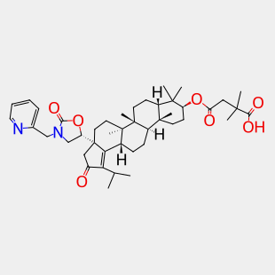 CC(C)C1=C2[C@H]3CC[C@@H]4[C@@]5(C)CC[C@H](OC(=O)CC(C)(C)C(=O)O)C(C)(C)[C@H]5CC[C@@]4(C)[C@]3(C)CCC2([C@@H]2CN(Cc3ccccn3)C(=O)O2)CC1=O